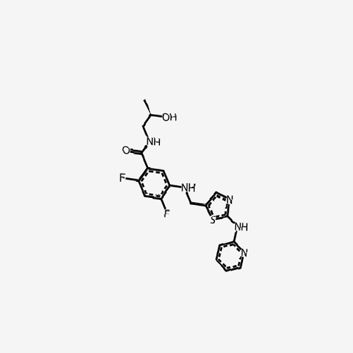 C[C@@H](O)CNC(=O)c1cc(NCc2cnc(Nc3ccccn3)s2)c(F)cc1F